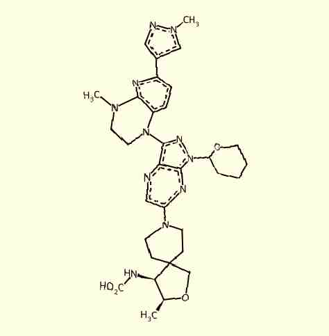 C[C@@H]1OCC2(CCN(c3cnc4c(N5CCN(C)c6nc(-c7cnn(C)c7)ccc65)nn(C5CCCCO5)c4n3)CC2)[C@@H]1NC(=O)O